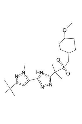 COC1CCC(CS(=O)(=O)C(C)(C)c2nnc(-c3cc(C(C)(C)C)nn3C)[nH]2)CC1